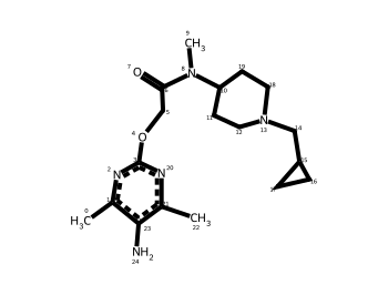 Cc1nc(OCC(=O)N(C)C2CCN(CC3CC3)CC2)nc(C)c1N